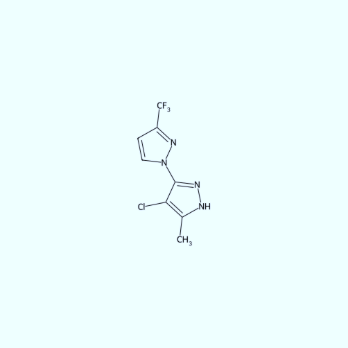 Cc1[nH]nc(-n2ccc(C(F)(F)F)n2)c1Cl